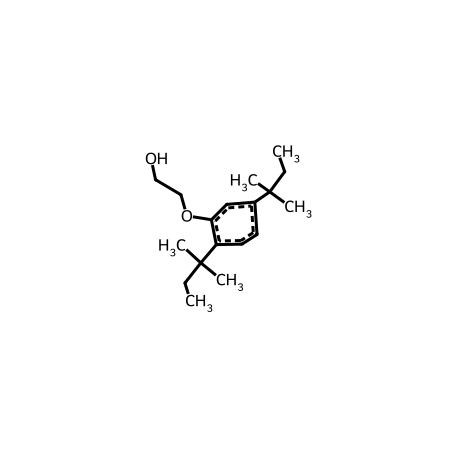 CCC(C)(C)c1ccc(C(C)(C)CC)c(OCCO)c1